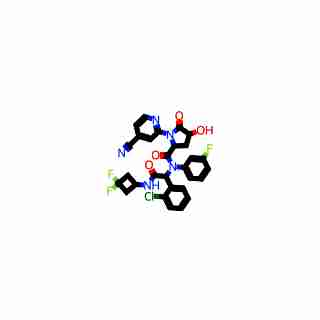 N#Cc1ccnc(N2C(=O)C(O)CC2C(=O)N(c2cccc(F)c2)C(C(=O)NC2CC(F)(F)C2)c2ccccc2Cl)c1